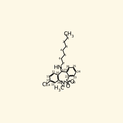 CCCCCCCCNC1c2ccc(Cl)cc2N(C)S(=O)(=O)c2ccccc21